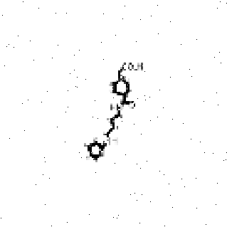 O=C(O)CN1CCC(C(=O)NCCCCNc2ccccn2)CC1